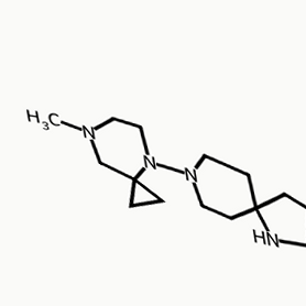 CN1CCN(N2CCC3(CCCN3)CC2)C2(CC2)C1